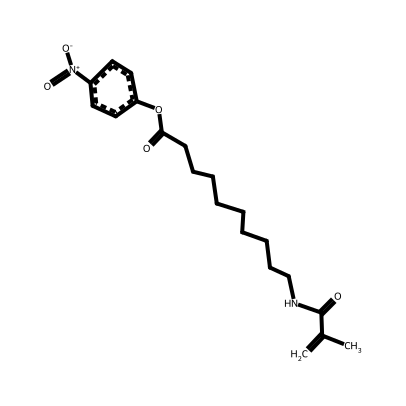 C=C(C)C(=O)NCCCCCCCCCC(=O)Oc1ccc([N+](=O)[O-])cc1